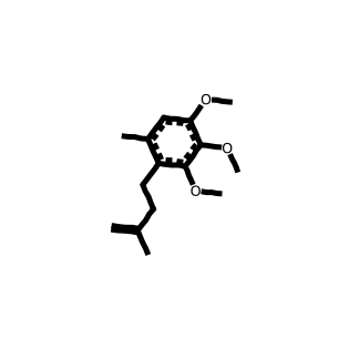 C=C(C)CCc1c(C)cc(OC)c(OC)c1OC